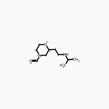 CC(C)NCCC1CN(C=O)CCO1